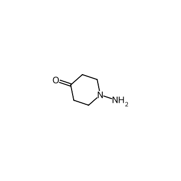 NN1CCC(=O)CC1